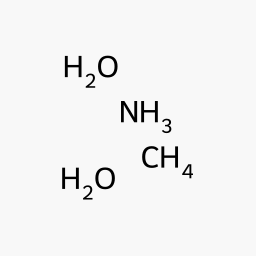 C.N.O.O